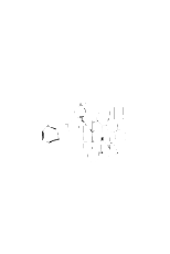 CCC(O)(NC(=O)OCc1ccccc1)C(=O)ON1C(=O)CCC1=O